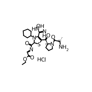 CCOC(=O)C=NC(=O)C1SC(C(=O)[C@@H]2CCCN2C(=O)[C@H](C)N)=C(C(=N)NO)N1C1CCCCC1.Cl